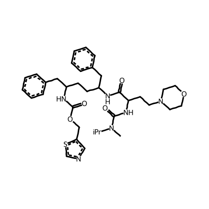 CC(C)N(C)C(=O)NC(CCN1CCOCC1)C(=O)NC(CCC(Cc1ccccc1)NC(=O)OCc1cncs1)Cc1ccccc1